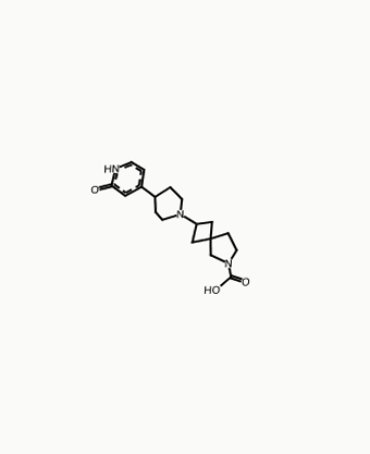 O=C(O)N1CCC2(CC(N3CCC(c4cc[nH]c(=O)c4)CC3)C2)C1